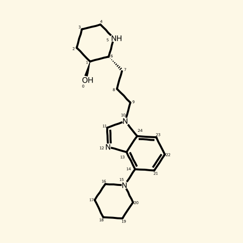 O[C@H]1CCCN[C@@H]1CCCn1cnc2c(N3CCCCC3)cccc21